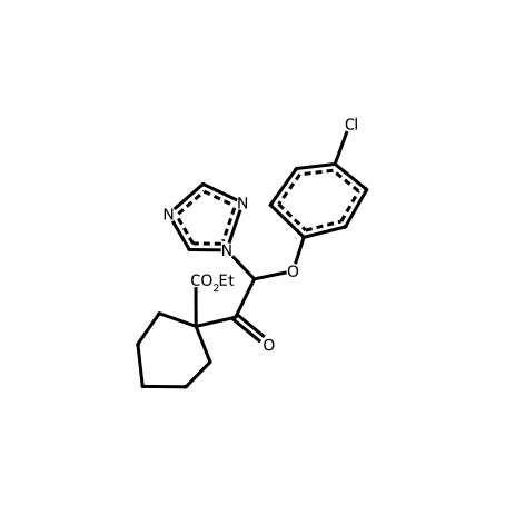 CCOC(=O)C1(C(=O)C(Oc2ccc(Cl)cc2)n2cncn2)CCCCC1